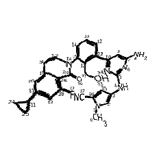 Cn1cc(Nc2nc(N)cc(-c3cccc(-n4ccc5cc(C6CC6)cc(F)c5c4=O)c3CO)n2)cc1C#N